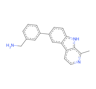 Cc1nccc2c1[nH]c1ccc(-c3cccc(CN)c3)cc12